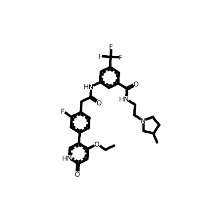 CCOc1cc(=O)[nH]cc1-c1ccc(CC(=O)Nc2cc(C(=O)NCCN3CCC(C)C3)cc(C(F)(F)F)c2)c(F)c1